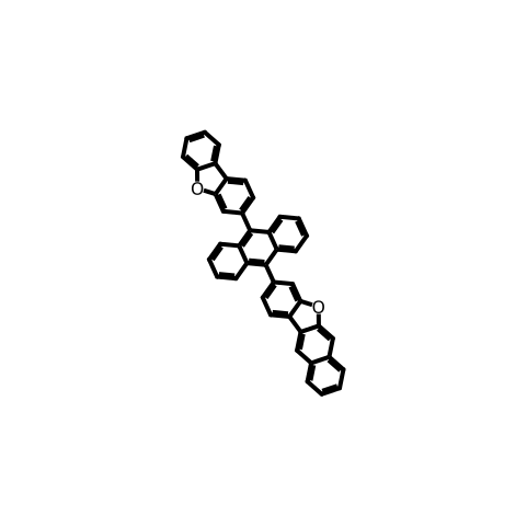 c1ccc2cc3c(cc2c1)oc1cc(-c2c4ccccc4c(-c4ccc5c(c4)oc4ccccc45)c4ccccc24)ccc13